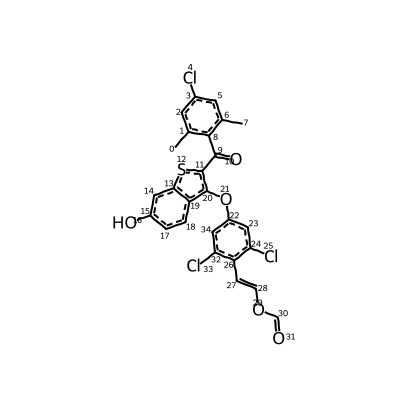 Cc1cc(Cl)cc(C)c1C(=O)c1sc2cc(O)ccc2c1Oc1cc(Cl)c(/C=C/OC=O)c(Cl)c1